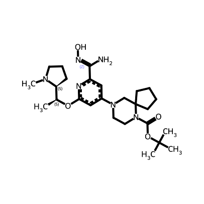 C[C@H](Oc1cc(N2CCN(C(=O)OC(C)(C)C)C3(CCCC3)C2)cc(/C(N)=N/O)n1)[C@@H]1CCCN1C